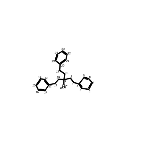 BrC(CCc1ccccc1)(CCc1ccccc1)CCc1ccccc1